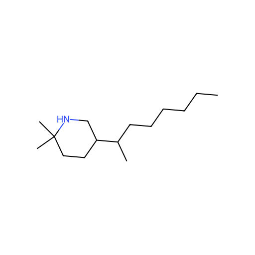 CCCCCCC(C)C1CCC(C)(C)NC1